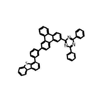 c1ccc(-c2nc(-c3ccccc3)nc(-c3ccc4c5ccccc5c5cc(-c6cccc(-c7cccc8c7sc7ccccc78)c6)ccc5c4c3)n2)cc1